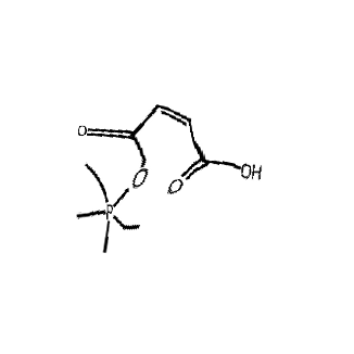 CP(C)(C)(C)OC(=O)/C=C\C(=O)O